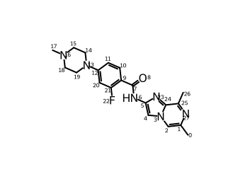 Cc1cn2cc(NC(=O)c3ccc(N4CCN(C)CC4)cc3F)nc2c(C)n1